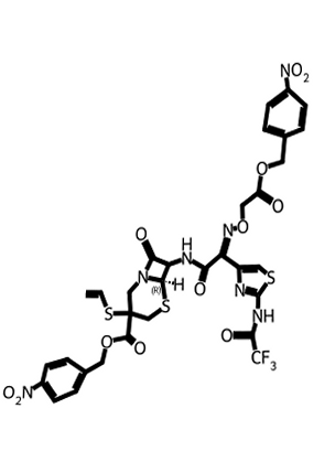 C=CSC1(C(=O)OCc2ccc([N+](=O)[O-])cc2)CS[C@@H]2C(NC(=O)C(=NOCC(=O)OCc3ccc([N+](=O)[O-])cc3)c3csc(NC(=O)C(F)(F)F)n3)C(=O)N2C1